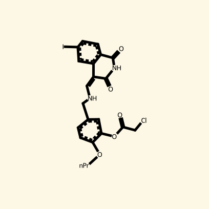 CCCOc1ccc(CNC=C2C(=O)NC(=O)c3ccc(I)cc32)cc1OC(=O)CCl